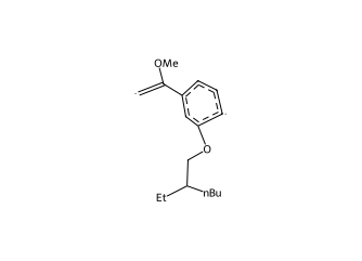 [CH]=C(OC)c1cc[c]c(OCC(CC)CCCC)c1